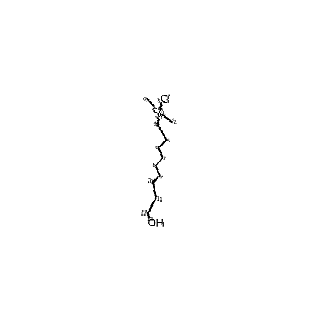 C[Si](C)(Cl)CCCCCCCCCO